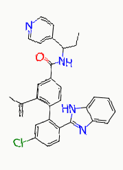 C=C(C)c1cc(C(=O)NC(CC)c2ccncc2)ccc1-c1cc(Cl)ccc1-c1nc2ccccc2[nH]1